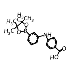 CC1(C)OB(c2cccc(Nc3ccc(C(=O)O)cc3)c2)OC1(C)C